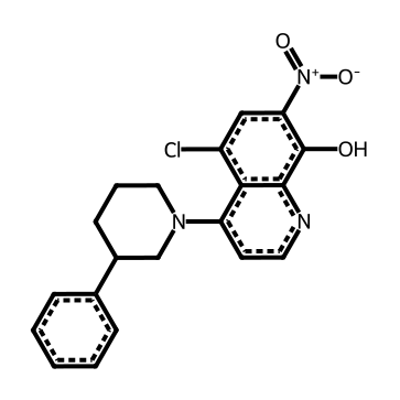 O=[N+]([O-])c1cc(Cl)c2c(N3CCCC(c4ccccc4)C3)ccnc2c1O